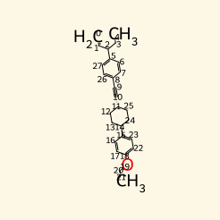 C=CC(CC)c1ccc(C#C[C@H]2CC[C@H](c3ccc(OCC)cc3)CC2)cc1